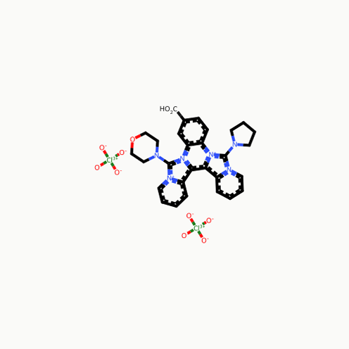 O=C(O)c1ccc2c(c1)n1c(N3CCOCC3)[n+]3ccccc3c1c1c3ccccn3c(N3CCCC3)[n+]21.[O-][Cl+3]([O-])([O-])[O-].[O-][Cl+3]([O-])([O-])[O-]